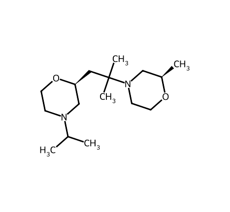 CC(C)N1CCO[C@@H](CC(C)(C)N2CCO[C@H](C)C2)C1